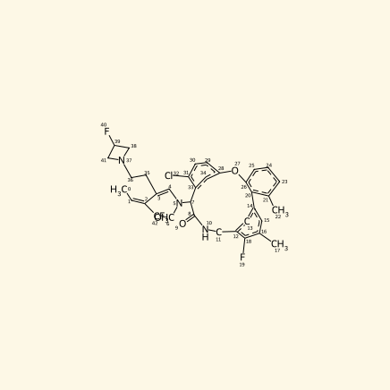 C/C=C(\C(=C/N(C=O)C1C(=O)NCc2cc(cc(C)c2F)-c2c(C)cccc2Oc2ccc(Cl)c1c2)CCN1CC(F)C1)C(F)(F)F